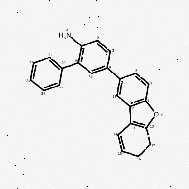 Nc1ccc(-c2ccc3oc4c(c3c2)C=CCC4)cc1-c1ccccc1